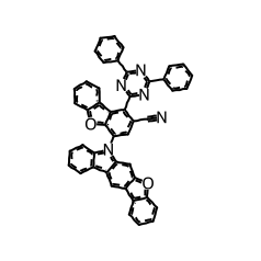 N#Cc1cc(-n2c3ccccc3c3cc4c(cc32)oc2ccccc24)c2oc3ccccc3c2c1-c1nc(-c2ccccc2)nc(-c2ccccc2)n1